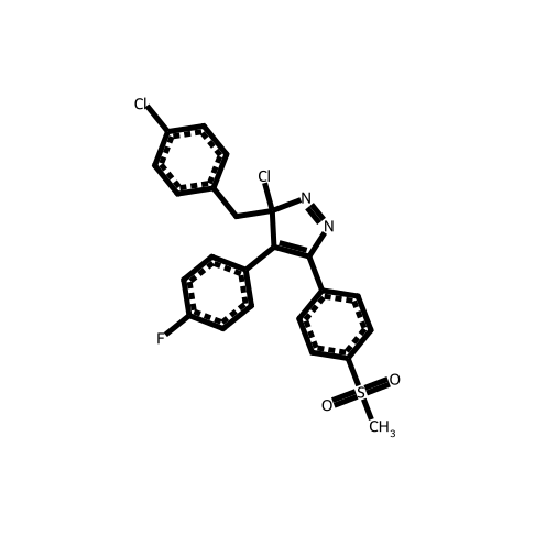 CS(=O)(=O)c1ccc(C2=C(c3ccc(F)cc3)C(Cl)(Cc3ccc(Cl)cc3)N=N2)cc1